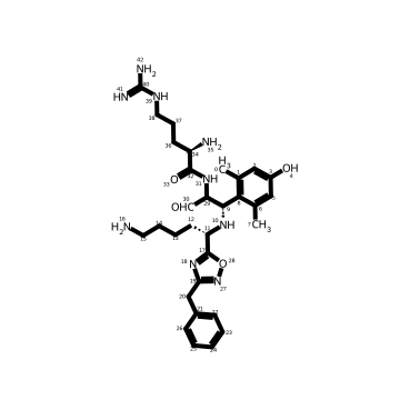 Cc1cc(O)cc(C)c1[C@H](N[C@@H](CCCCN)c1nc(Cc2ccccc2)no1)C(C=O)NC(=O)[C@H](N)CCCNC(=N)N